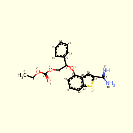 CCOC(=O)OCC(Oc1cccc2sc(C(=N)N)cc12)c1ccccc1